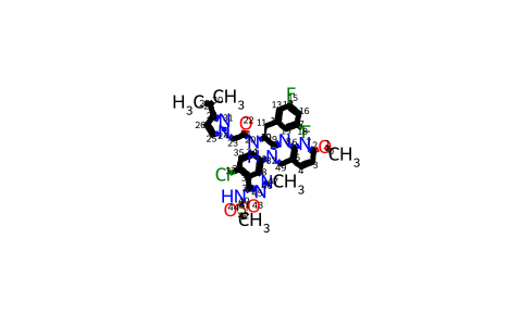 COc1ccc2c(n1)N=C([C@H](Cc1cc(F)cc(F)c1)NC(=O)Cn1ccc(C(C)C)n1)N(c1ccc(Cl)c3c(NS(C)(=O)=O)nn(C)c13)C2